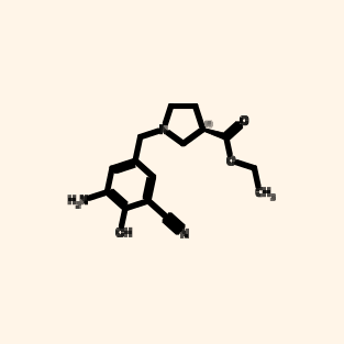 CCOC(=O)[C@@H]1CCN(Cc2cc(N)c(O)c(C#N)c2)C1